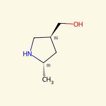 C[C@H]1C[C@H](CO)CN1